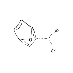 BrC(Br)c1cc2ccc1o2